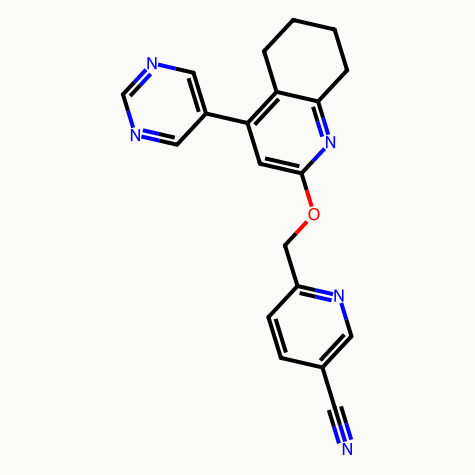 N#Cc1ccc(COc2cc(-c3cncnc3)c3c(n2)CCCC3)nc1